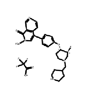 CCCCn1cc(-c2ccc(O[C@H]3CCN(CC4CCNCC4)C[C@@H]3F)cc2)c2ccncc2c1=O.O=C(O)C(F)(F)F